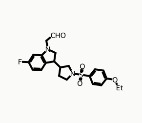 CCOc1ccc(S(=O)(=O)N2CCC(C3CN(CC=O)c4cc(F)ccc43)C2)cc1